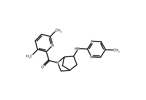 Cc1cnc(NC2CC3CC2N(C(=O)c2nc(C)ccc2C)C3)nc1